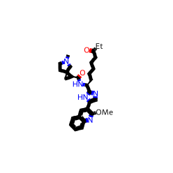 CCC(=O)CCCCC[C@H](NC(=O)[C@H]1C[C@]12CCN(C)C2)c1ncc(-c2cc3ccccc3nc2OC)[nH]1